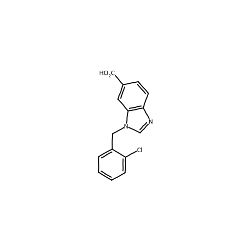 O=C(O)c1ccc2ncn(Cc3ccccc3Cl)c2c1